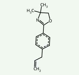 C=CCc1ccc(C2=NC(C)(C)CO2)cc1